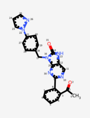 CC(=O)c1ccccc1-c1ncc2[nH]c(=O)n(Cc3ccc(-n4cccn4)cc3)c2n1